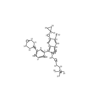 CC1(Oc2cc3c(-c4cc(N5CCOCC5)ncn4)n(COCC[Si](C)(C)C)nc3cc2F)CC1